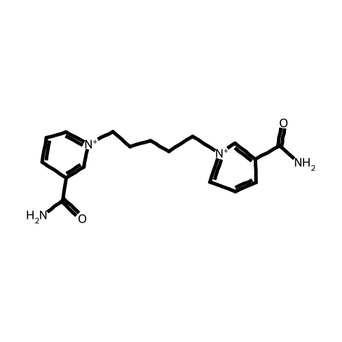 NC(=O)c1ccc[n+](CCCCC[n+]2cccc(C(N)=O)c2)c1